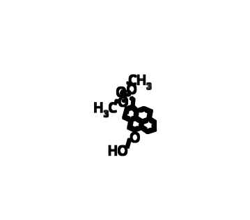 CCOP(=O)(Cc1ccc2cc(OCCO)c3cccc4ccc1c2c43)OCC